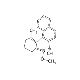 C#Cc1ccc2ccccc2c1C1=C(C)CCC/C1=N\OC